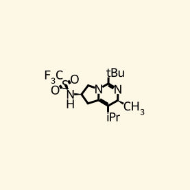 CC(C)C1=C2C[C@@H](NS(=O)(=O)C(F)(F)F)CN2C(C(C)(C)C)=N[C@H]1C